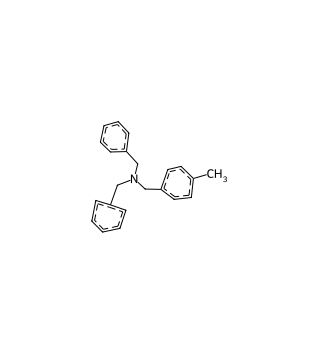 Cc1ccc(CN(Cc2ccccc2)Cc2ccccc2)cc1